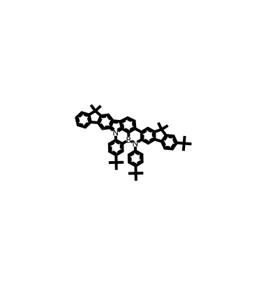 CC(C)(C)c1ccc(N2B3c4cc(C(C)(C)C)ccc4-n4c5cc6c(cc5c5ccc(c3c54)-c3cc4c(cc32)-c2ccc(C(C)(C)C)cc2C4(C)C)C(C)(C)c2ccccc2-6)cc1